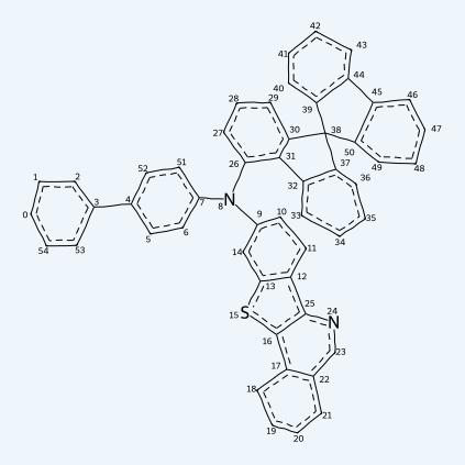 c1ccc(-c2ccc(N(c3ccc4c(c3)sc3c5ccccc5cnc43)c3cccc4c3-c3ccccc3C43c4ccccc4-c4ccccc43)cc2)cc1